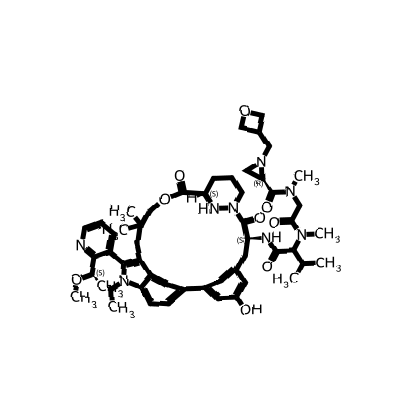 CCn1c(-c2cccnc2[C@H](C)OC)c2c3cc(ccc31)-c1cc(O)cc(c1)C[C@H](NC(=O)C(C(C)C)N(C)C(=O)CN(C)C(=O)[C@H]1CN1CC1COC1)C(=O)N1CCC[C@H](N1)C(=O)OCC(C)(C)C2